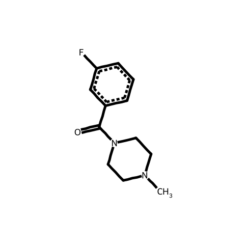 CN1CCN(C(=O)c2cccc(F)c2)CC1